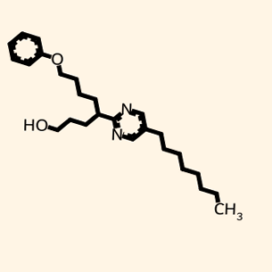 CCCCCCCCc1cnc(C(CCCO)CCCCOc2ccccc2)nc1